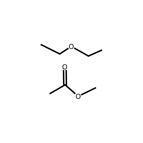 CCOCC.COC(C)=O